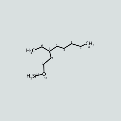 CCCCCC(CC)CCO[SiH3]